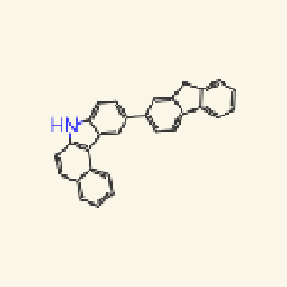 c1ccc2c(c1)Cc1cc(-c3ccc4[nH]c5ccc6ccccc6c5c4c3)ccc1-2